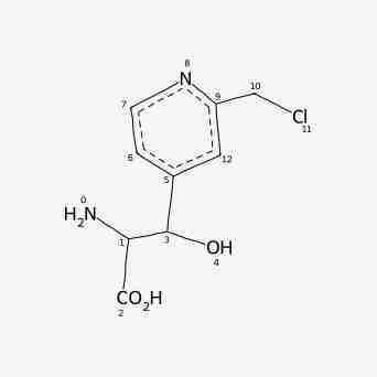 NC(C(=O)O)C(O)c1ccnc(CCl)c1